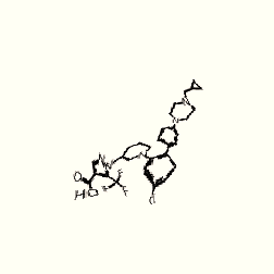 O=C(O)c1cnn(C2CCCN(c3cc(Cl)ccc3-c3ccc(N4CCN(CC5CC5)CC4)cc3)C2)c1C(F)(F)F